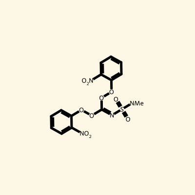 CNS(=O)(=O)N=C(OOc1ccccc1[N+](=O)[O-])OOc1ccccc1[N+](=O)[O-]